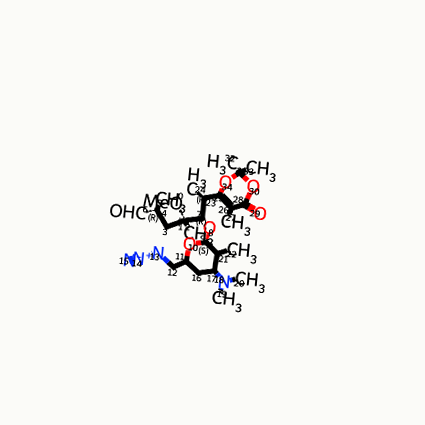 CO[C@](C)(C[C@@H](C)C=O)[C@H](O[C@@H]1OC(CN=[N+]=[N-])CC(N(C)C)C1C)[C@@H](C)C1=C(C)C(=O)OC(C)(C)O1